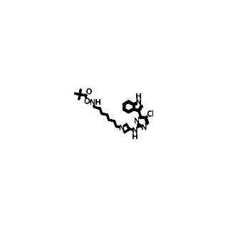 CC(C)(C)C(=O)ONCCCCCCCN1CC(Nc2ncc(Cl)c(-c3c[nH]c4ccccc34)n2)C1